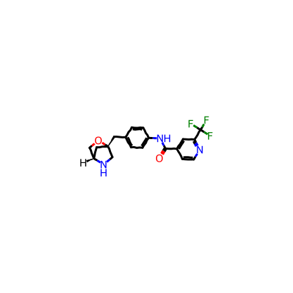 O=C(Nc1ccc(C[C@]23CN[C@H](CO2)C3)cc1)c1ccnc(C(F)(F)F)c1